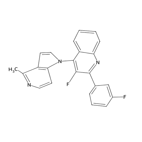 Cc1nccc2c1ccn2-c1c(F)c(-c2cccc(F)c2)nc2ccccc12